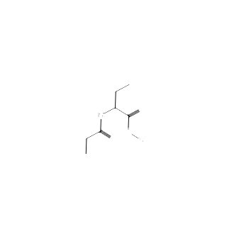 CCC(=O)NC(CC)C(=O)ON